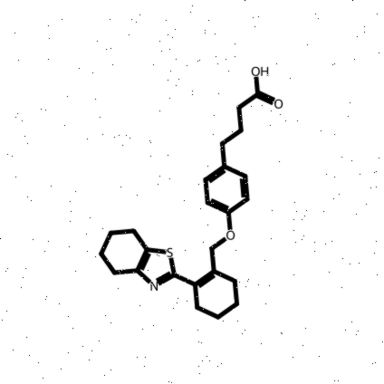 O=C(O)CCCc1ccc(OCC2=C(c3nc4c(s3)CCCC4)CCCC2)cc1